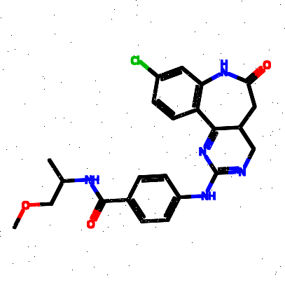 COCC(C)NC(=O)c1ccc(NC2=NCC3CC(=O)Nc4cc(Cl)ccc4C3=N2)cc1